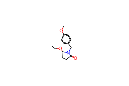 CCOC1CCC(=O)N1Cc1ccc(OC)cc1